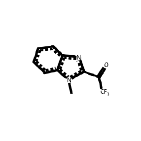 Cn1c(C(=O)C(F)(F)F)nc2ccccc21